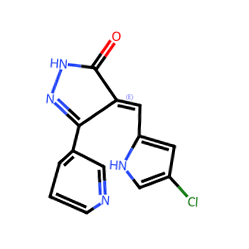 O=C1NN=C(c2cccnc2)/C1=C\c1cc(Cl)c[nH]1